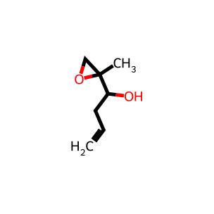 C=CCC(O)C1(C)CO1